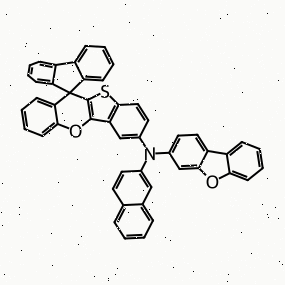 c1ccc2c(c1)Oc1c(sc3ccc(N(c4ccc5ccccc5c4)c4ccc5c(c4)oc4ccccc45)cc13)C21c2ccccc2-c2ccccc21